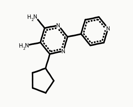 Nc1nc(-c2ccncc2)nc(C2CCCC2)c1N